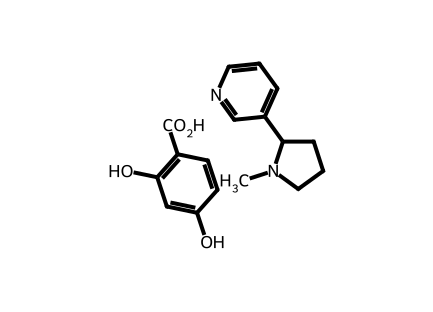 CN1CCCC1c1cccnc1.O=C(O)c1ccc(O)cc1O